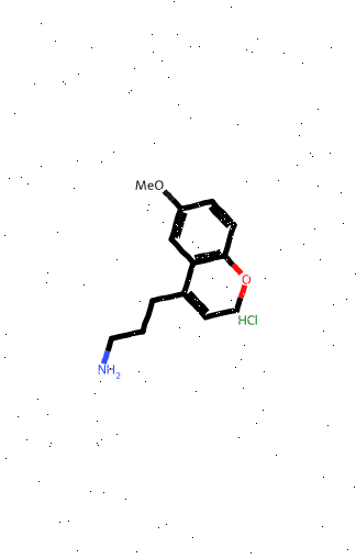 COc1ccc2c(c1)C(CCCN)=CCO2.Cl